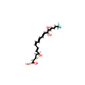 C[C@@](O)(/C=C/C=C\C=C\C=C\[C@H](O)[C@H](O)CCCCC(F)(F)F)CCCC(=O)O